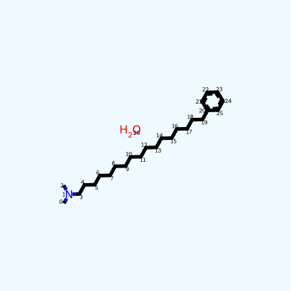 CN(C)CCCCCCCCCCCCCCCCCc1ccccc1.O